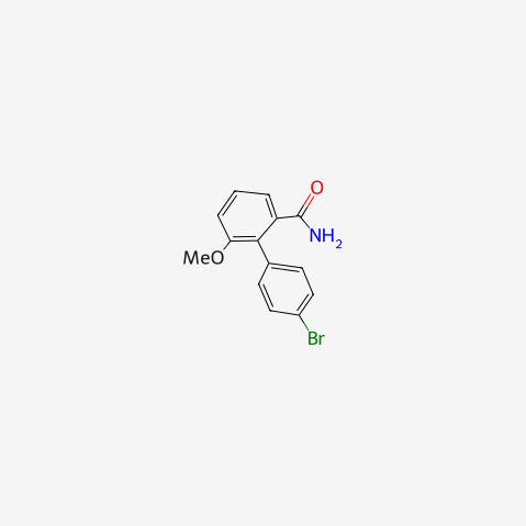 COc1cccc(C(N)=O)c1-c1ccc(Br)cc1